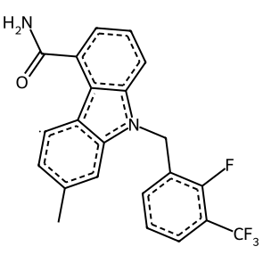 Cc1c[c]c2c3c(C(N)=O)cccc3n(Cc3cccc(C(F)(F)F)c3F)c2c1